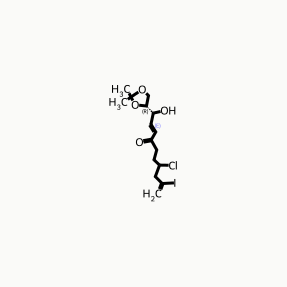 C=C(I)CC(Cl)CCC(=O)/C=C/C(O)[C@H]1COC(C)(C)O1